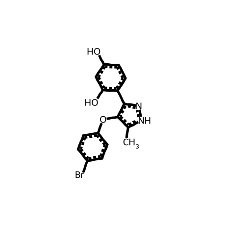 Cc1[nH]nc(-c2ccc(O)cc2O)c1Oc1ccc(Br)cc1